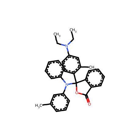 CCN(CC)c1ccc(C2(N(c3ccccc3)c3cccc(C)c3)OC(=O)c3ccccc32)c(C)c1